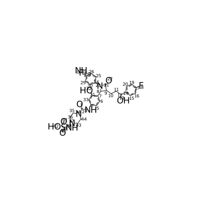 N.O=C(Nc1ccc(C2C(CCC(O)c3ccc(F)cc3)C(=O)N2c2ccc(F)cc2)c(O)c1)N1CCN(NS(=O)(=O)O)CC1